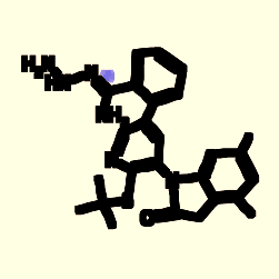 Cc1cc(C)c2c(c1)N(c1cc(-c3ccccc3/C(N)=N/NN)cnc1SC(C)(C)C)C(=O)C2